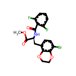 COC(=O)[C@H](Cc1ccc(Br)c2c1OCCO2)NC(=O)c1c(F)cccc1F